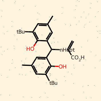 C=CC(=O)O.CCCCCCCC(c1cc(C)cc(C(C)(C)C)c1O)c1cc(C)cc(C(C)(C)C)c1O